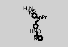 CCCN(CCC1CCC(NC(=O)c2cn(C)c3ccccc23)CC1)[C@H]1CCc2nc(N)sc2C1